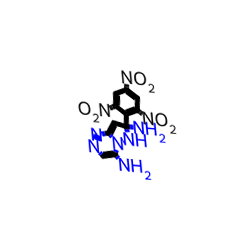 NC1=CN=NC2=CC(N)(c3c([N+](=O)[O-])cc([N+](=O)[O-])cc3[N+](=O)[O-])NN12